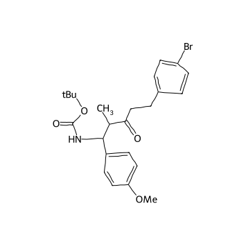 COc1ccc(C(NC(=O)OC(C)(C)C)C(C)C(=O)CCc2ccc(Br)cc2)cc1